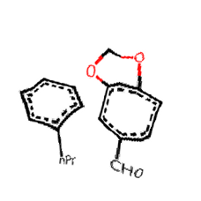 CCCc1ccccc1.O=Cc1ccc2c(c1)OCO2